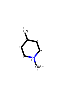 CON1CCC(C#N)CC1